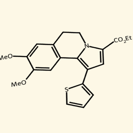 CCOC(=O)c1cc(-c2cccs2)c2n1CCc1cc(OC)c(OC)cc1-2